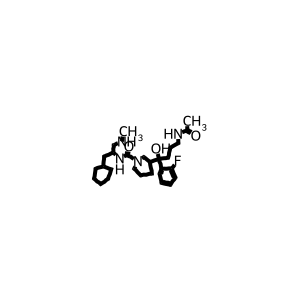 CNCC(CC1CCCCC1)NC(=O)N1CCCC(C(O)(CCCNC(C)=O)c2ccccc2F)C1